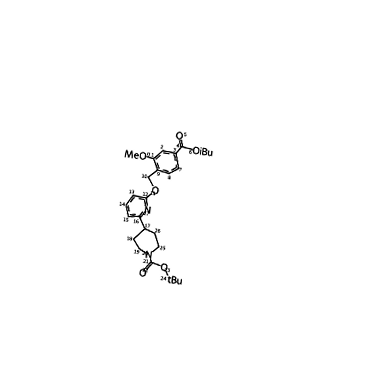 COc1cc(C(=O)OCC(C)C)ccc1COc1cccc(C2CCN(C(=O)OC(C)(C)C)CC2)n1